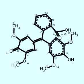 COC1=CC(=C(c2cc(OC)c(O)c(OC)c2)c2ccccc2C(=O)O)C=C(OC)C1=O